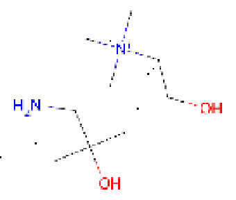 CC(C)(O)CN.C[N+](C)(C)CCO